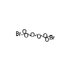 O=C(CBr)OCCOCCOCCOC(=O)CBr